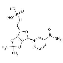 CC1(C)OC2C(O1)[C@@H](COP(=O)(O)O)O[C@H]2[n+]1cccc(C(N)=O)c1